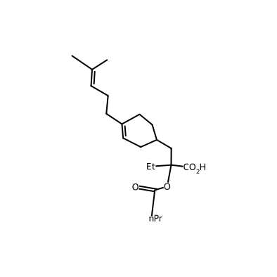 CCCC(=O)OC(CC)(CC1CC=C(CCC=C(C)C)CC1)C(=O)O